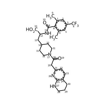 Cc1cc(C(F)(F)F)cc(C)c1C(=O)NC(CC1CCN(C(=O)Cc2ccc3c(n2)NCCC3)CC1)C(=O)O